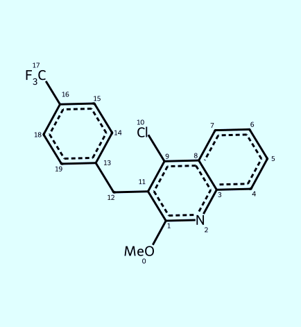 COc1nc2ccccc2c(Cl)c1Cc1ccc(C(F)(F)F)cc1